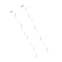 CCCCCCCCCCCCCCCCC(I)C(=O)[O-].CCCCCCCCCCCCCCCCC(I)C(=O)[O-].[Ca+2]